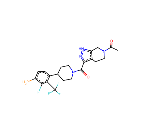 CC(=O)N1CCc2c(C(=O)N3CCC(c4ccc(P)c(F)c4C(F)(F)F)CC3)n[nH]c2C1